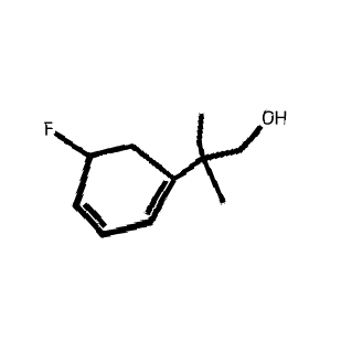 CC(C)(CO)C1=CC=C[C](F)C1